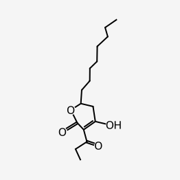 CCCCCCCCC1CC(O)=C(C(=O)CC)C(=O)O1